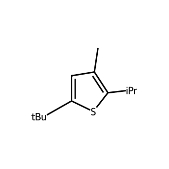 Cc1cc(C(C)(C)C)sc1C(C)C